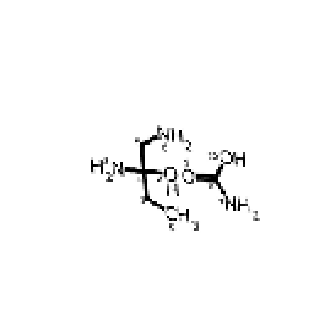 CCC(N)(O)CN.NC(=O)O